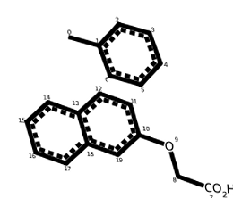 Cc1ccccc1.O=C(O)COc1ccc2ccccc2c1